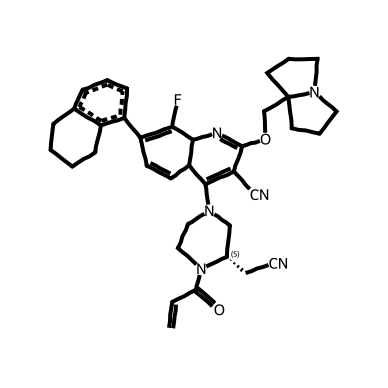 C=CC(=O)N1CCN(C2=C(C#N)C(OCC34CCCN3CCC4)=NC3C(F)=C(c4cccc5c4CCCC5)C=CC23)C[C@@H]1CC#N